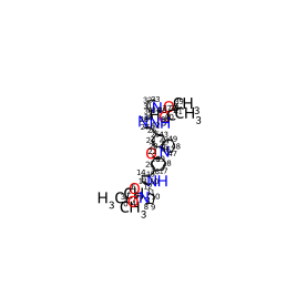 CC(C)(C)OC(=O)N1CCC[C@H]1c1ccc(-c2ccc3c(c2)Oc2cc(-c4cnc([C@@H]5CCCN5C(=O)OC(C)(C)C)[nH]4)cc4c2N3CCC4)[nH]1